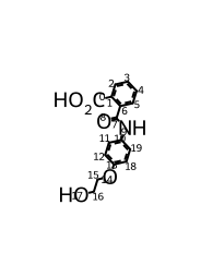 O=C(O)c1ccccc1C(=O)Nc1ccc(OCCO)cc1